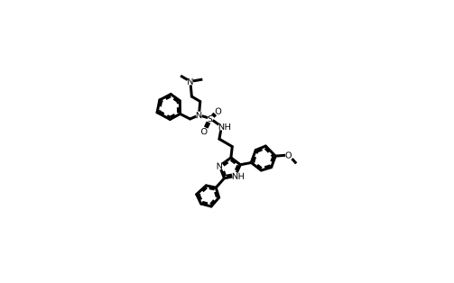 COc1ccc(-c2[nH]c(-c3ccccc3)nc2CCNS(=O)(=O)N(CCN(C)C)Cc2ccccc2)cc1